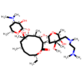 CC[C@@H]1CC[C@H](C)C[C@](C)(O)[C@H](O[C@@H]2O[C@H](C)C[C@H](N(C)C)[C@H]2O)[C@@H](C)[C@H](O[C@H]2C[C@@](C)(OC)[C@@](O)(CN(C)CCN(C)C)[C@H](C)O2)[C@@H](C)C(=O)O1